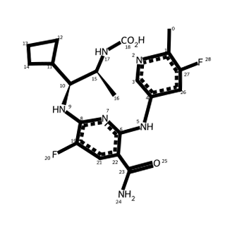 Cc1ncc(Nc2nc(N[C@@H](C3CCC3)[C@H](C)NC(=O)O)c(F)cc2C(N)=O)cc1F